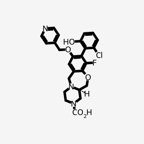 O=C(O)N1CCN2Cc3cc(OCc4ccncc4)c(-c4c(O)cccc4Cl)c(F)c3OC[C@H]2C1